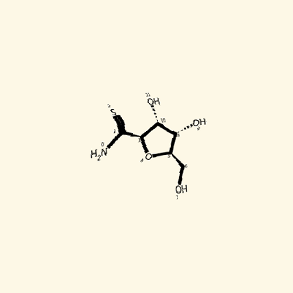 NC(=S)[C@@H]1O[C@H](CO)[C@@H](O)[C@H]1O